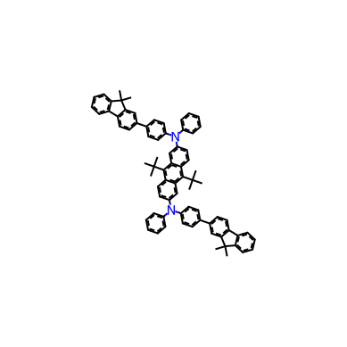 CC(C)(C)c1c2ccc(N(c3ccccc3)c3ccc(-c4ccc5c(c4)C(C)(C)c4ccccc4-5)cc3)cc2c(C(C)(C)C)c2ccc(N(c3ccccc3)c3ccc(-c4ccc5c(c4)C(C)(C)c4ccccc4-5)cc3)cc12